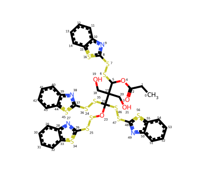 CCC(=O)OC(SSc1nc2ccccc2s1)C(CO)(CO)C(OSSc1nc2ccccc2s1)(SSc1nc2ccccc2s1)SSc1nc2ccccc2s1